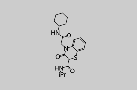 CC(C)NC(=O)C1Sc2ccccc2N(CC(=O)NC2CCCCC2)C1=O